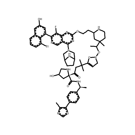 CCc1cccc2cc(O)cc(-c3ncc4c(N5CC6CCC(C5)N6)nc(OCCC5CC(C)(C(C)ON6CC=C(C(C)(C)CC(=O)[C@@]7(C(=O)N[C@@H](C)c8ccc(-c9scnc9C)cc8)CC(O)CN7)O6)CCN5)nc4c3F)c12